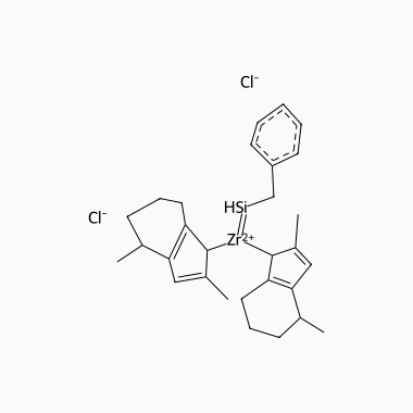 CC1=CC2=C(CCCC2C)[CH]1[Zr+2](=[SiH]Cc1ccccc1)[CH]1C(C)=CC2=C1CCCC2C.[Cl-].[Cl-]